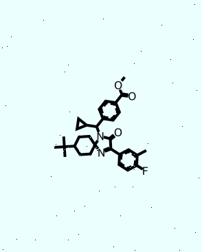 COC(=O)c1ccc(C(C2CC2)N2C(=O)C(c3ccc(F)c(C)c3)=NC23CCC(C(C)(C)C)CC3)cc1